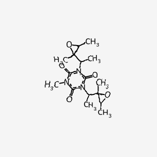 CC1OC1(C)C(C)n1c(=O)n(C)c(=O)n(C(C)C2(C)OC2C)c1=O